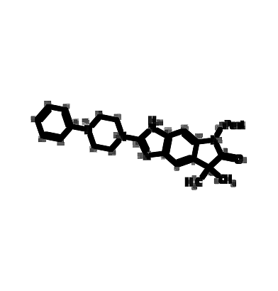 CCCCCN1C(=O)C(C)(C)c2cc3nc(N4CCN(c5ccccc5)CC4)[nH]c3cc21